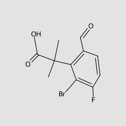 CC(C)(C(=O)O)c1c(C=O)ccc(F)c1Br